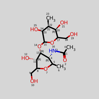 CC(=O)N[C@@H]1C(C)OC(CO)[C@H](O)[C@@H]1OC1OC(CO)[C@H](O)[C@H](C)[C@@H]1O